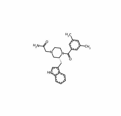 Cc1cc(C)cc(C(=O)N2CCN(CC(N)=O)C[C@H]2Cc2c[nH]c3ccccc23)c1